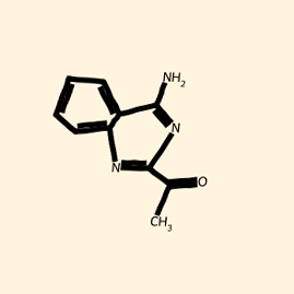 CC(=O)c1nc(N)c2ccccc2n1